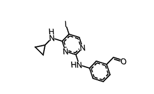 O=Cc1cccc(Nc2ncc(I)c(NC3CC3)n2)c1